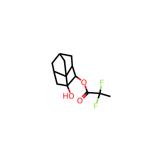 CC(F)(F)C(=O)OC1C2CC3CC(C2)CC1(O)C3